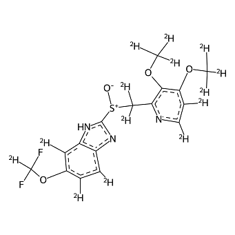 [2H]c1nc(C([2H])([2H])[S+]([O-])c2nc3c([2H])c([2H])c(OC([2H])(F)F)c([2H])c3[nH]2)c(OC([2H])([2H])[2H])c(OC([2H])([2H])[2H])c1[2H]